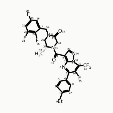 CCc1ccc(-c2nc3c(C(=O)N4CC(=O)N(Cc5cc(F)cc(F)c5F)C[C@H]4C)cnn3c(C(F)(F)F)c2F)cc1